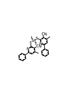 Cc1cc(-c2ccccc2)nc([S][Sn]([I])([I])[S]c2nc(-c3ccccc3)cc(C)c2C#N)c1C#N